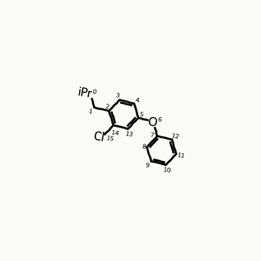 CC(C)Cc1ccc(Oc2ccccc2)cc1Cl